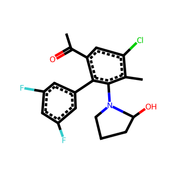 CC(=O)c1cc(Cl)c(C)c(N2CCCC2O)c1-c1cc(F)cc(F)c1